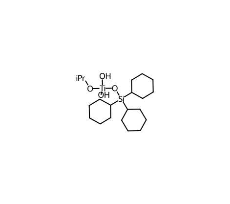 CC(C)[O][Ti]([OH])([OH])[O][Si](C1CCCCC1)(C1CCCCC1)C1CCCCC1